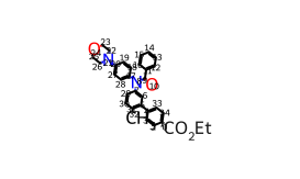 CCOC(=O)c1ccc(-c2cc(N(C(=O)c3ccccc3)c3ccc(N4CCOCC4)cc3)ccc2C)cc1